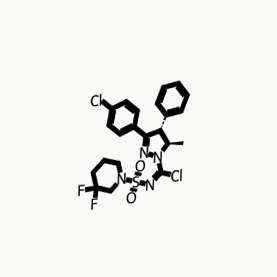 C[C@@H]1[C@@H](c2ccccc2)C(c2ccc(Cl)cc2)=NN1/C(Cl)=N\S(=O)(=O)N1CCCC(F)(F)C1